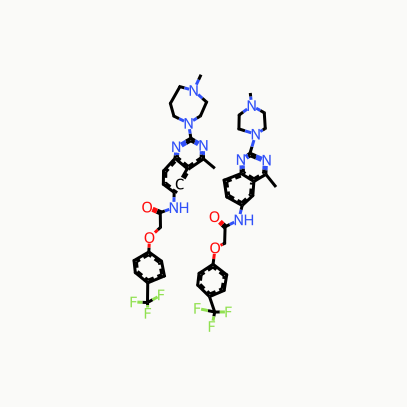 Cc1nc(N2CCCN(C)CC2)nc2ccc(NC(=O)COc3ccc(C(F)(F)F)cc3)cc12.Cc1nc(N2CCN(C)CC2)nc2ccc(NC(=O)COc3ccc(C(F)(F)F)cc3)cc12